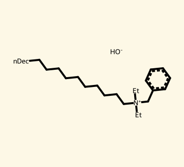 CCCCCCCCCCCCCCCCCCCC[N+](CC)(CC)Cc1ccccc1.[OH-]